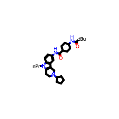 CCCn1c2c(c3cc(NC(=O)C4CCC(NC(=O)C(C)(C)C)CC4)ccc31)CN(C1CCCC1)CC2